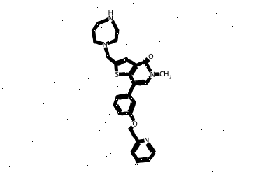 Cn1cc(-c2cccc(OCc3ccccn3)c2)c2sc(CN3CCCNCC3)cc2c1=O